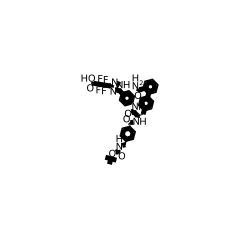 CC(C)(C)OC(=O)NC[C@H]1CC[C@H](C(=O)N[C@@H](Cc2ccc(-c3ccccc3C(N)=O)cc2)C(=O)Nc2ccc(-c3nc(C(F)(F)C(F)(F)C(=O)O)n[nH]3)cc2)CC1